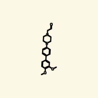 COc1ccc(-c2ccc(N3CCN(CC=O)CC3)cc2)cc1OC